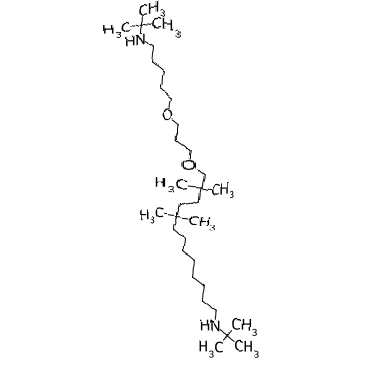 CC(C)(CCCCCCCCNC(C)(C)C)CCC(C)(C)COCCCOCCCCCNC(C)(C)C